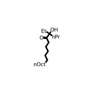 [CH2]CC(O)(CCC)C(=O)CCCCCCCCCCCCC